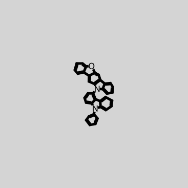 c1ccc(-n2c3ccccc3c3c(-n4c5ccccc5c5cc6oc7ccccc7c6cc54)cccc32)cc1